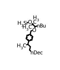 CCCCCCCCCCCCC(C)c1ccc(COC(CCCC)C(C)(C)O[SiH3])cc1